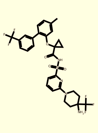 Cc1ccc(-c2cccc(C(F)(F)F)c2)c(OC2(C(=O)NS(=O)(=O)c3cccc(N4CCC(N)(C(F)(F)F)CC4)n3)CC2)c1